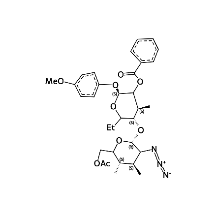 CCC1O[C@@H](Oc2ccc(OC)cc2)C(OC(=O)c2ccccc2)[C@@H](C)[C@@H]1O[C@H]1OC(COC(C)=O)[C@@H](C)[C@H](C)C1N=[N+]=[N-]